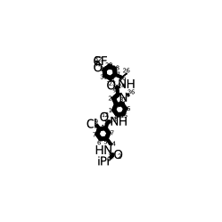 CC(C)C(=O)NCc1ccc(Cl)c(C(=O)Nc2ccc3c(c2)cc(C(=O)N[C@H](C)c2ccc(OC(F)(F)F)cc2)n3C)c1